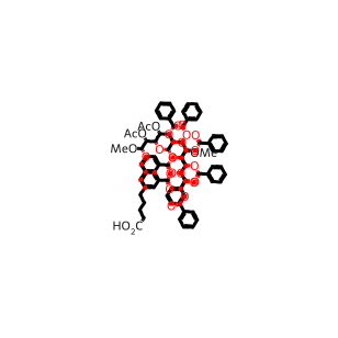 COC(OCCCCCCCCC(=O)O)C(OC(C)=O)C(OC1OC(COC(=O)c2ccccc2)C(OC(=O)c2ccccc2)C(OC(=O)c2ccccc2)C1OC(=O)c1ccccc1)C(CCOC(OC)C(OC(=O)c1ccccc1)C(OC(=O)c1ccccc1)C(CCOC(=O)c1ccccc1)OC(=O)c1ccccc1)OC(C)=O